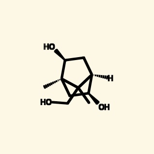 CC1(CO)[C@H]2C[C@H](O)[C@]1(C)C[C@@H]2O